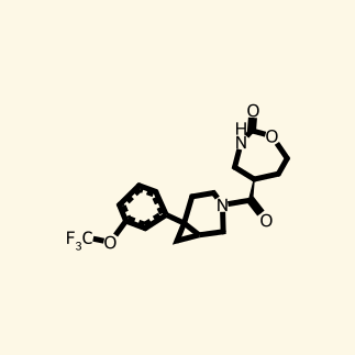 O=C1NC[C@H](C(=O)N2CCC3(c4cccc(OC(F)(F)F)c4)CC3C2)CCO1